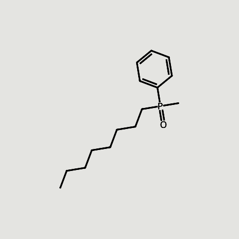 CCCCCCCCP(C)(=O)c1ccccc1